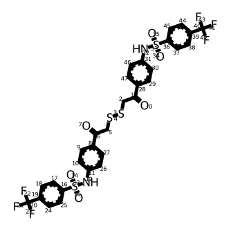 O=C(CSSCC(=O)c1ccc(NS(=O)(=O)c2ccc(C(F)(F)F)cc2)cc1)c1ccc(NS(=O)(=O)c2ccc(C(F)(F)F)cc2)cc1